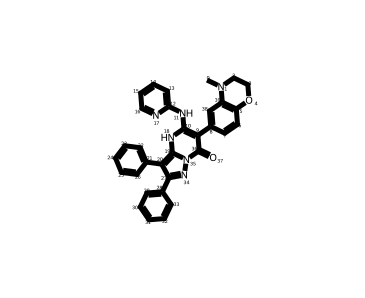 CN1CCOc2ccc(-c3c(Nc4ccccn4)[nH]c4c(-c5ccccc5)c(-c5ccccc5)nn4c3=O)cc21